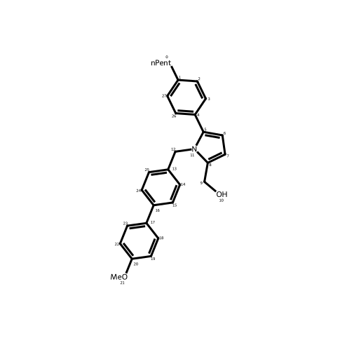 CCCCCc1ccc(-c2ccc(CO)n2Cc2ccc(-c3ccc(OC)cc3)cc2)cc1